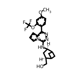 COc1ccc(-c2nnc(N[C@@H]3C[C@H](CO)C4CC3C4)n3cccc23)c(OC(F)(F)F)c1